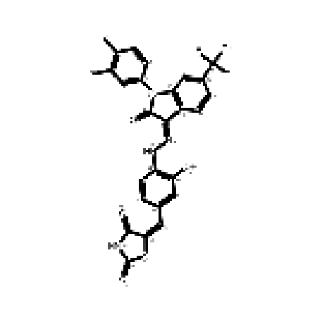 Cc1ccc(N2C(=O)C(=NNc3ccc(C=C4SC(=O)NC4=O)cc3O)c3ccc(C(F)(F)F)cc32)cc1C